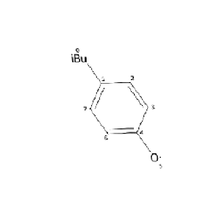 CCC(C)c1ccc([O])cc1